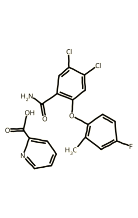 Cc1cc(F)ccc1Oc1cc(Cl)c(Cl)cc1C(N)=O.O=C(O)c1ccccn1